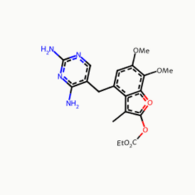 CCOC(=O)Oc1oc2c(OC)c(OC)cc(Cc3cnc(N)nc3N)c2c1C